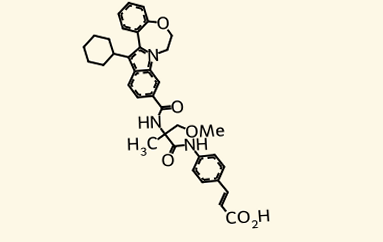 COCC(C)(NC(=O)c1ccc2c(C3CCCCC3)c3n(c2c1)CCOc1ccccc1-3)C(=O)Nc1ccc(C=CC(=O)O)cc1